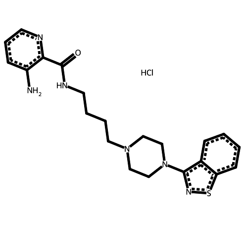 Cl.Nc1cccnc1C(=O)NCCCCN1CCN(c2nsc3ccccc23)CC1